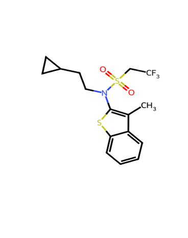 Cc1c(N(CCC2CC2)S(=O)(=O)CC(F)(F)F)sc2ccccc12